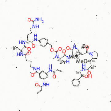 C=CC(=O)Nc1cc(NC(=O)C=C)cc(C(=O)NCCCC(=O)N[C@H](C(=O)N[C@@H](CCCNC(N)=O)C(=O)Nc2ccc(COC(=O)N(C)[C@H](C(=O)NC(C(=O)N(C)[C@@H]([C@H](C)CC)[C@@H](CC(=O)N3CCC[C@H]3[C@H](OC)[C@@H](C)C(=O)N[C@H](C)[C@@H](O)c3ccccc3)OC)C(C)C)C(C)C)cc2)C(C)C)c1